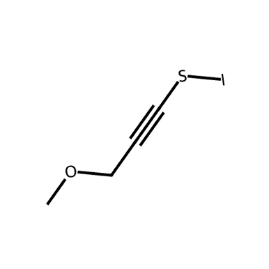 COCC#CSI